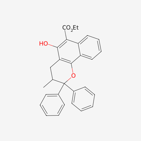 CCOC(=O)c1c(O)c2c(c3ccccc13)OC(c1ccccc1)(c1ccccc1)C(C)C2